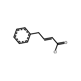 O=C(Cl)C=CCc1ccccc1